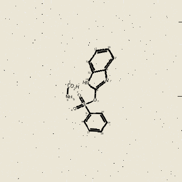 NC(=O)O.O=S(=O)(Oc1nc2ccccc2[nH]1)c1ccccc1